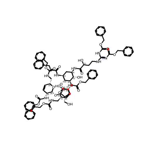 O=C(/N=C(/NCC[C@H](O)C(=O)N[C@@H]1C[C@H](NC(=O)OCc2ccccc2)[C@@H](O[C@H]2O[C@H](CNC(=O)OCc3ccccc3)C=C[C@H]2NC(=O)OCc2ccccc2)[C@H](O[C@@H]2O[C@H](CO)[C@@H](O[C@H]3O[C@@H](CNC(=O)OCc4ccccc4)C=C[C@H]3NC(=O)OCc3ccccc3)[C@H]2O)[C@H]1O)NC(=O)OCc1ccccc1)OCc1ccccc1